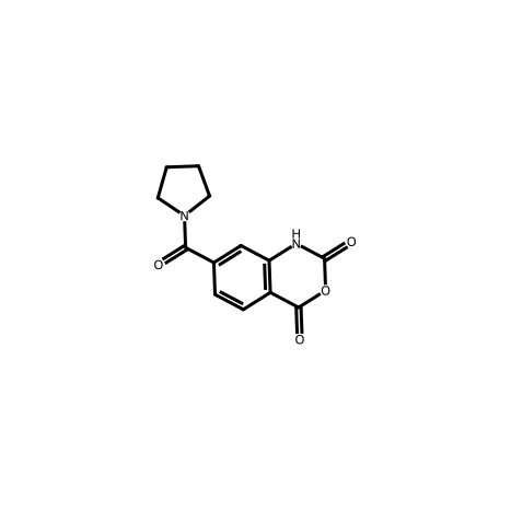 O=C(c1ccc2c(=O)oc(=O)[nH]c2c1)N1CCCC1